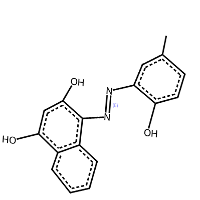 Cc1ccc(O)c(/N=N/c2c(O)cc(O)c3ccccc23)c1